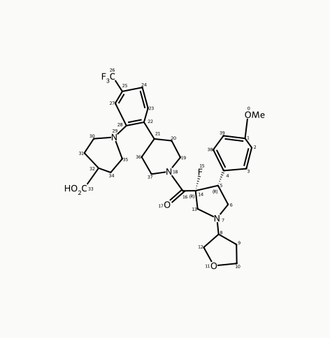 COc1ccc([C@@H]2CN(C3CCOC3)C[C@@]2(F)C(=O)N2CCC(c3ccc(C(F)(F)F)cc3N3CCC(C(=O)O)CC3)CC2)cc1